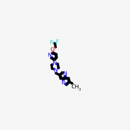 CCc1cnc2cc(CN3CCN(c4ccc(OCC(F)F)nc4)CC3)cnc2c1